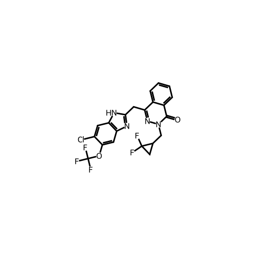 O=c1c2ccccc2c(Cc2nc3cc(OC(F)(F)F)c(Cl)cc3[nH]2)nn1CC1CC1(F)F